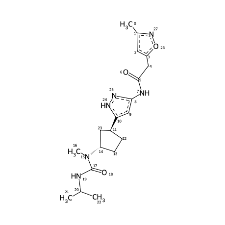 Cc1cc(CC(=O)Nc2cc([C@H]3CC[C@H](N(C)C(=O)NC(C)C)C3)[nH]n2)on1